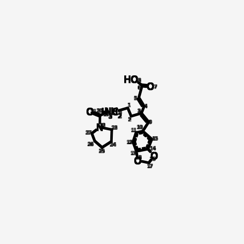 CCCC(/C=C/C(=O)O)=C\c1ccc2c(c1)OCO2.NC(=O)N1CCCCC1